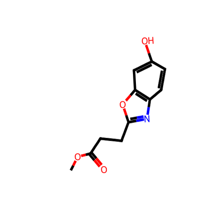 COC(=O)CCc1nc2ccc(O)cc2o1